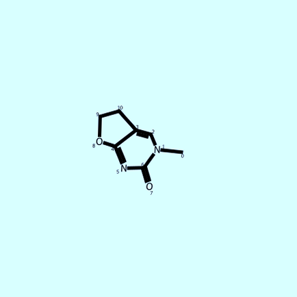 Cn1cc2c(nc1=O)OCC2